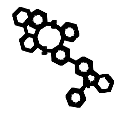 C1=Cc2c(n(-c3ccccc3)c3cc(-c4ccc5c(c4)-c4ccccc4Sc4ccccc4C4=C(CCC=C4C4=CCCCC4)S5)ccc23)CC1